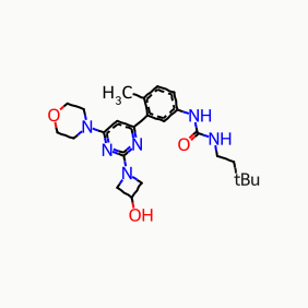 Cc1ccc(NC(=O)NCCC(C)(C)C)cc1-c1cc(N2CCOCC2)nc(N2CC(O)C2)n1